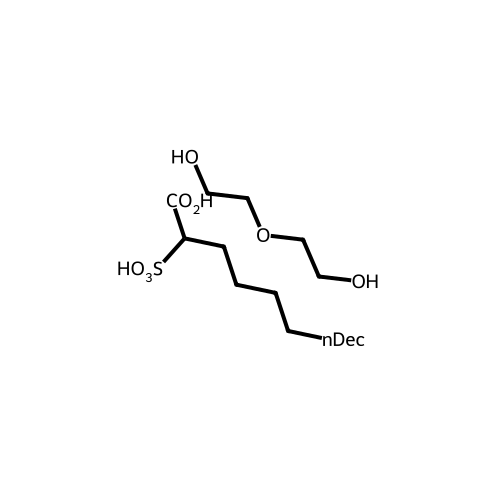 CCCCCCCCCCCCCCC(C(=O)O)S(=O)(=O)O.OCCOCCO